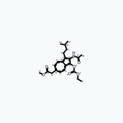 CCOC(=O)Oc1c2ccc(CC(=O)OC)ccc-2c(CCC(C)C)c1NC(C)=O